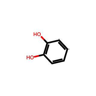 Oc1[c][c]ccc1O